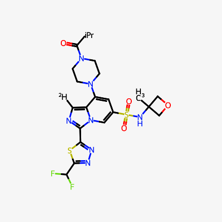 [2H]c1nc(-c2nnc(C(F)F)s2)n2cc(S(=O)(=O)NC3(C)COC3)cc(N3CCN(C(=O)C(C)C)CC3)c12